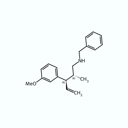 C=C[C@@H](c1cccc(OC)c1)[C@@H](C)CNCc1ccccc1